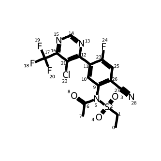 CCS(=O)(=O)N(C(C)=O)c1cc(-c2ncnc(C(F)(F)F)c2Cl)c(F)cc1C#N